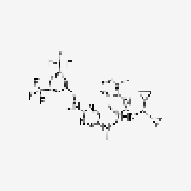 Cc1cccc2cc(CN(C)c3cnc(N(C)Cc4cc(C(F)(F)F)cc(C(F)(F)F)c4)nc3)c(NC(C3CC3)C3CC3)nc12